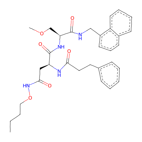 CCCCONC(=O)C[C@H](NC(=O)CCc1ccccc1)C(=O)N[C@@H](COC)C(=O)NCc1cccc2ccccc12